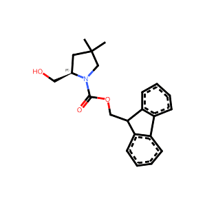 CC1(C)C[C@H](CO)N(C(=O)OCC2c3ccccc3-c3ccccc32)C1